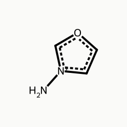 N[n+]1ccoc1